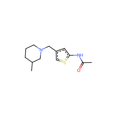 CC(=O)Nc1cc(CN2CCCC(C)C2)cs1